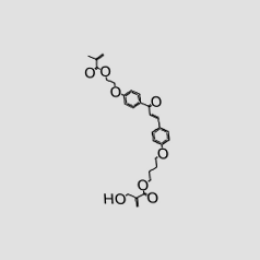 C=C(C)C(=O)OCCOc1ccc(C(=O)/C=C/c2ccc(OCCCCOC(=O)C(=C)CO)cc2)cc1